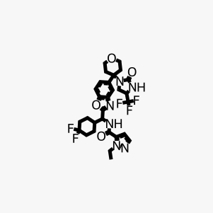 CCn1nccc1C(=O)NC(c1nc2cc(C3(N4CC(C(F)(F)F)NC4=O)CCOCC3)ccc2o1)C1CCC(F)(F)CC1